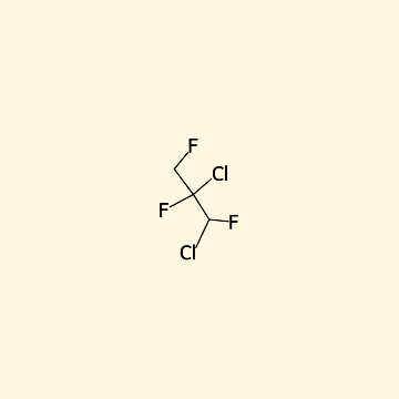 FCC(F)(Cl)C(F)Cl